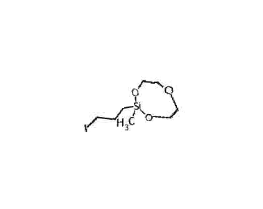 C[Si]1(CCCI)OCCOCCO1